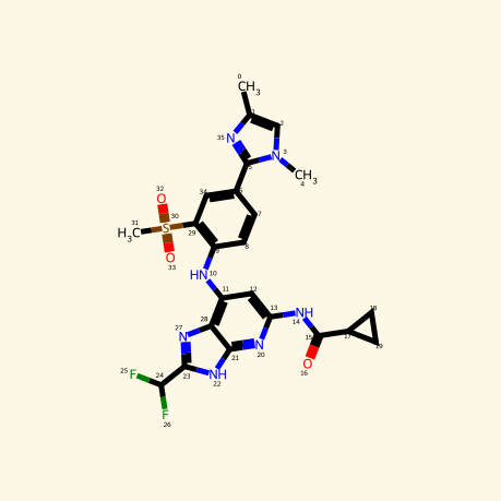 Cc1cn(C)c(-c2ccc(Nc3cc(NC(=O)C4CC4)nc4[nH]c(C(F)F)nc34)c(S(C)(=O)=O)c2)n1